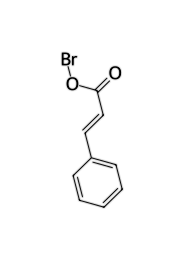 O=C(/C=C/c1ccccc1)OBr